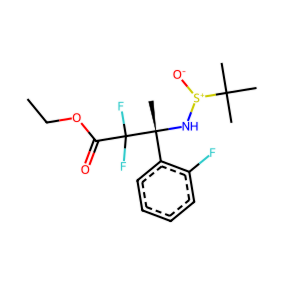 CCOC(=O)C(F)(F)[C@](C)(N[S+]([O-])C(C)(C)C)c1ccccc1F